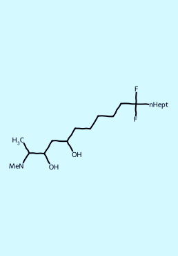 CCCCCCCC(F)(F)CCCCCC(O)CC(O)C(C)NC